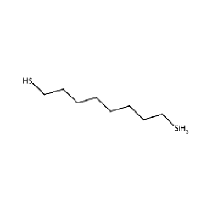 [SiH3]CCCCCCCCS